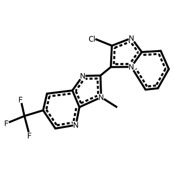 Cn1c(-c2c(Cl)nc3ccccn23)nc2cc(C(F)(F)F)cnc21